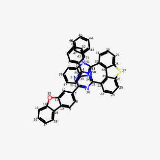 c1ccc(-c2nc(-c3ccc4c(c3)oc3ccccc34)nc(-c3cccc4sc5cccc(-c6nc7ccccc7n6-c6ccccc6)c5c34)n2)cc1